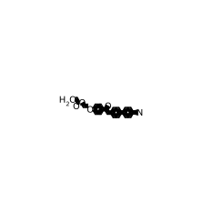 C=CC(=O)OCCOc1ccc(C(=O)Cc2ccc(-c3ccc(C#N)cc3)cc2)cc1